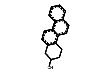 OC1CCc2c(ccc3c2ccc2ccccc23)C1